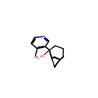 Cc1ccncc1C1(O)CCCC2CC21